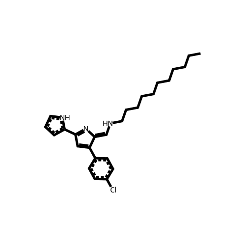 CCCCCCCCCCCNC=C1N=C(c2ccc[nH]2)C=C1c1ccc(Cl)cc1